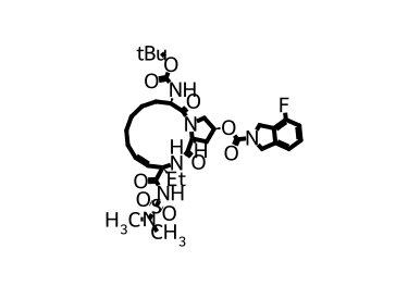 CC[C@]1(C(=O)NS(=O)(=O)N(C)C)/C=C\CCCCC[C@H](NC(=O)OC(C)(C)C)C(=O)N2C[C@H](OC(=O)N3Cc4cccc(F)c4C3)C[C@H]2C(=O)N1